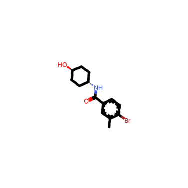 Cc1cc(C(=O)N[C@H]2CC[C@H](O)CC2)ccc1Br